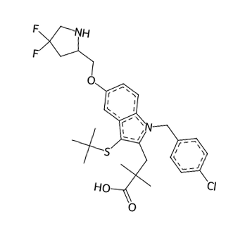 CC(C)(C)Sc1c(CC(C)(C)C(=O)O)n(Cc2ccc(Cl)cc2)c2ccc(OCC3CC(F)(F)CN3)cc12